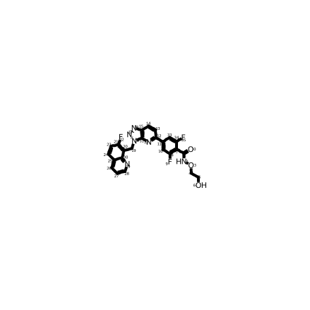 O=C(NOCCO)c1c(F)cc(-c2ccc3nnn(Cc4c(F)ccc5cccnc45)c3n2)cc1F